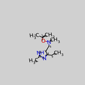 C=C(C)ON(C)CC/C(CC)=N\C(C)=N